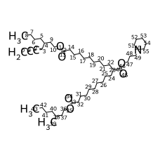 C=C=C=CC(CCCC)CCOC(=O)CCCCCCCCCC(CCCCCCCCCC(=O)OCCC(C)CCCC)C(=O)OCCCN1CCCCC1